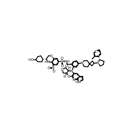 Cc1ccccc1[C@@H]1CCCN1C1CC2(CCN(c3ccc(C(=O)NS(=O)(=O)c4cc5c(c([N+](=O)[O-])c4)N[C@H](C4CCC(O)CC4)CO5)c(N4c5cc6cc[nH]c6nc5O[C@@H]5COC[C@H]54)c3)CC2)C1